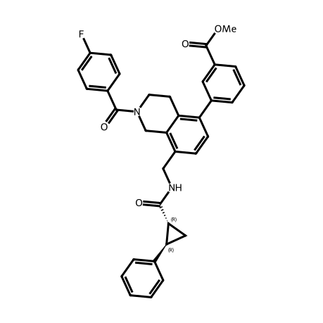 COC(=O)c1cccc(-c2ccc(CNC(=O)[C@@H]3C[C@H]3c3ccccc3)c3c2CCN(C(=O)c2ccc(F)cc2)C3)c1